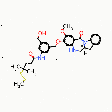 COc1cc2c(cc1OCc1cc(CO)cc(NC(=O)CCC(C)(C)SSC)c1)NC[C@@H]1Cc3ccccc3N1C2=O